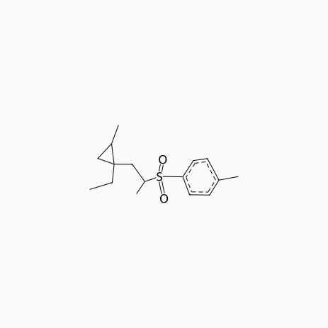 CCC1(CC(C)S(=O)(=O)c2ccc(C)cc2)CC1C